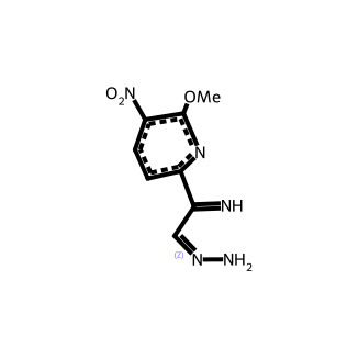 COc1nc(C(=N)/C=N\N)ccc1[N+](=O)[O-]